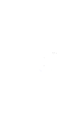 C=CCCOc1cc(OC)cc(Cl)c1N